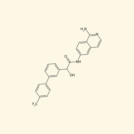 Nc1nccc2cc(NC(=O)C(O)c3cccc(-c4ccc(C(F)(F)F)cc4)c3)ccc12